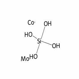 O[Si](O)(O)O.[Co].[Mo]